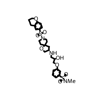 CNS(=O)(=O)c1cccc(OCC(O)CN[C@H]2COC3(CCN(S(=O)(=O)c4ccc5c(c4)CCCO5)CC3)C2)c1